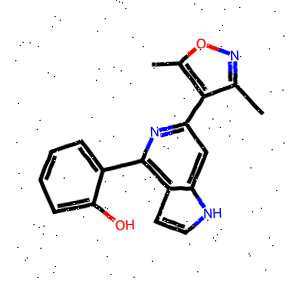 Cc1noc(C)c1-c1cc2[nH]ccc2c(-c2ccccc2O)n1